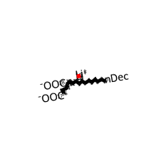 CCCCCCCCCCCCCCCCCCCCC=CC(CCCC(=O)[O-])C(=O)[O-].[Li+].[Li+]